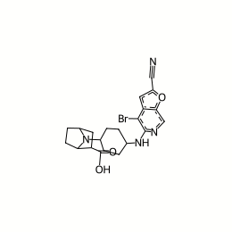 N#Cc1cc2c(Br)c(NC3CCC(N4C5CCC4C(C(=O)O)C5)CC3)ncc2o1